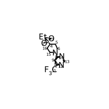 CCS(=O)(=O)C1CCN(c2cc(C(F)(F)F)ncn2)CC1